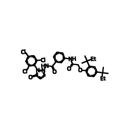 CCC(C)(C)c1ccc(OCC(=O)Nc2cccc(C(=O)Nn3ccc(=O)n3-c3c(Cl)cc(Cl)cc3Cl)c2)c(C(C)(C)CC)c1